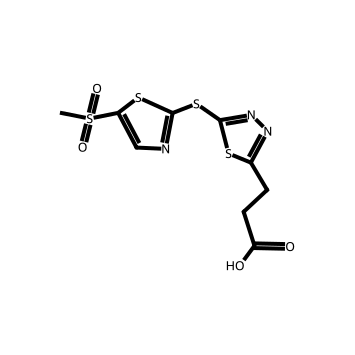 CS(=O)(=O)c1cnc(Sc2nnc(CCC(=O)O)s2)s1